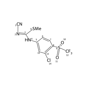 CS/C(=N\C#N)Nc1ccc(S(=O)(=O)C(F)(F)F)c(Cl)c1